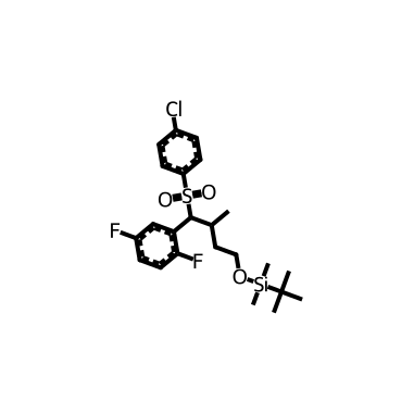 CC(CCO[Si](C)(C)C(C)(C)C)C(c1cc(F)ccc1F)S(=O)(=O)c1ccc(Cl)cc1